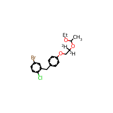 [2H]C([2H])(COc1ccc(Cc2cc(Br)ccc2Cl)cc1)OC(C)OCC